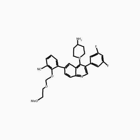 COCCOCOc1c(C#N)cccc1-c1ccc2ncc(-c3cc(F)cc(F)c3)c(N3CCC(N)CC3)c2c1